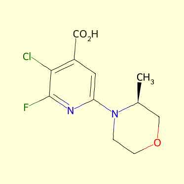 C[C@H]1COCCN1c1cc(C(=O)O)c(Cl)c(F)n1